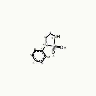 O=S1(=O)NCCN1c1ccccc1